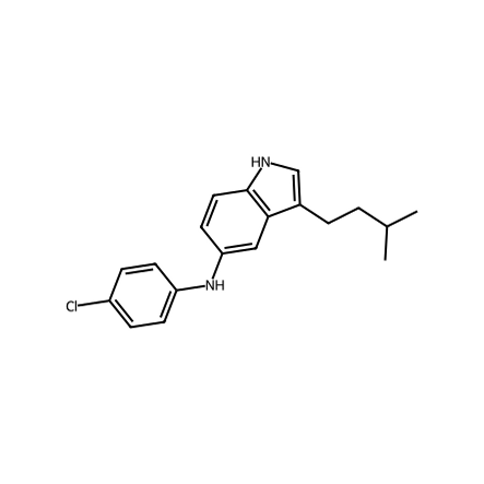 CC(C)CCc1c[nH]c2ccc(Nc3ccc(Cl)cc3)cc12